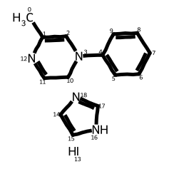 CC1=CN(c2ccccc2)CC=N1.I.c1c[nH]cn1